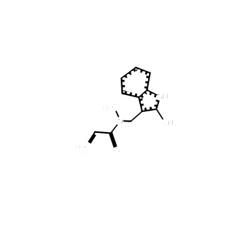 C=CC(=O)N(C)Cc1c(C)[nH]c2ccccc12